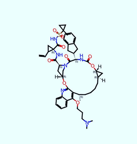 C=CC1C[C@]1(NC(=O)[C@@H]1C[C@@H]2CN1C(=O)[C@H](C1Cc3ccccc3C1)NC(=O)O[C@@H]1C[C@H]1CCCC[C@H](C)c1c(nc3ccccc3c1OCCCN(C)C)O2)C(=O)NS(=O)(=O)C1(C)CC1